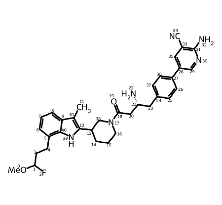 COC(F)CCc1cccc2c(C)c(C3CCCN(C(=O)C[C@H](N)Cc4ccc(-c5cnc(N)c(C#N)c5)cc4)C3)[nH]c12